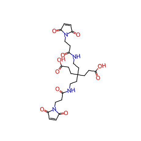 O=C(O)CCC(CCNC(=O)CCN1C(=O)C=CC1=O)(CCNC(=O)CCN1C(=O)C=CC1=O)CCC(=O)O